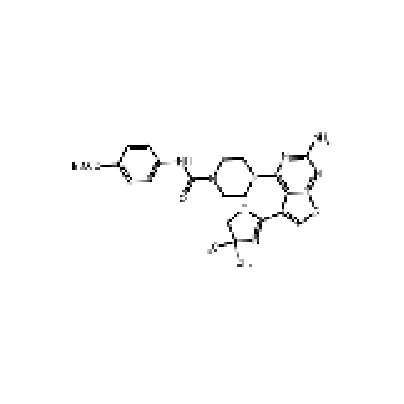 CCOC(=O)c1ccc(NC(=O)N2CCN(c3nc(N)nc4scc(C5=NC(C)(C)CO5)c34)CC2)cc1